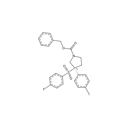 O=C(OCc1ccccc1)N1CC[C@@](c2ccc(I)cc2)(S(=O)(=O)c2ccc(F)cc2)C1